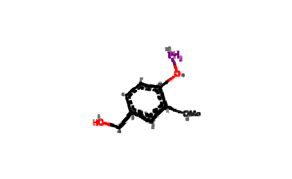 COc1cc(CO)ccc1OP